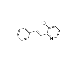 Oc1cccnc1C=Cc1ccccc1